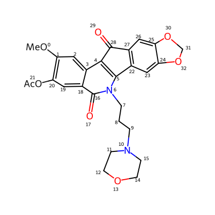 COc1cc2c3c(n(CCCN4CCOCC4)c(=O)c2cc1OC(C)=O)-c1cc2c(cc1C3=O)OCO2